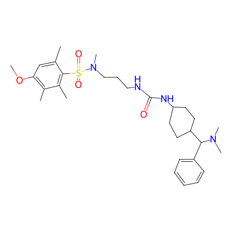 COc1cc(C)c(S(=O)(=O)N(C)CCCNC(=O)NC2CCC(C(c3ccccc3)N(C)C)CC2)c(C)c1C